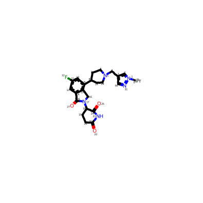 CC(C)n1cc(CN2CCC(c3cc(F)cc4c3CN(C3CCC(=O)NC3=O)C4=O)CC2)cn1